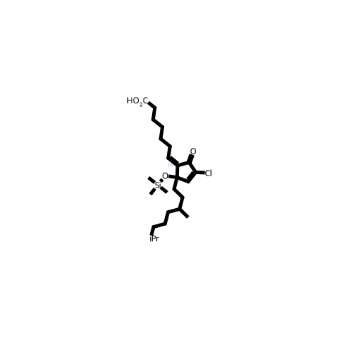 CC(C)CCCC(C)CCC1(O[Si](C)(C)C)C=C(Cl)C(=O)/C1=C\CCCCCC(=O)O